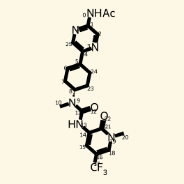 CC(=O)Nc1cnc(C2=CC[C@@H](N(C)C(=O)Nc3cc(C(F)(F)F)cn(C)c3=O)CC2)cn1